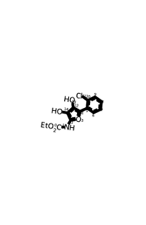 CCOC(=O)Nc1oc(-c2ccccc2Cl)c(O)c1O